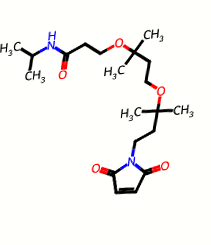 CC(C)NC(=O)CCOC(C)(C)CCOC(C)(C)CCN1C(=O)C=CC1=O